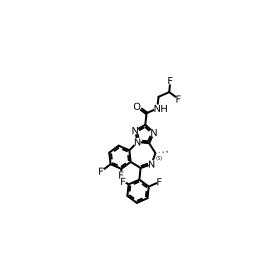 C[C@@H]1N=C(c2c(F)cccc2F)c2c(ccc(F)c2F)-n2nc(C(=O)NCC(F)F)nc21